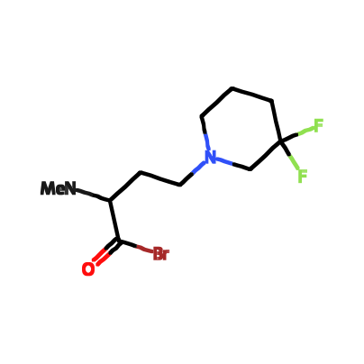 CNC(CCN1CCCC(F)(F)C1)C(=O)Br